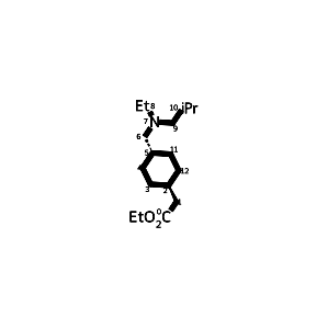 CCOC(=O)C[C@H]1CC[C@H](CN(CC)CC(C)C)CC1